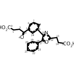 O=C(O)CCC(=O)c1cccc(-c2nc(CCC(=O)O)oc2-c2ccccc2)c1